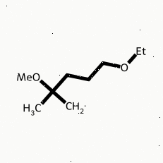 [CH2]C(C)(CCCOCC)OC